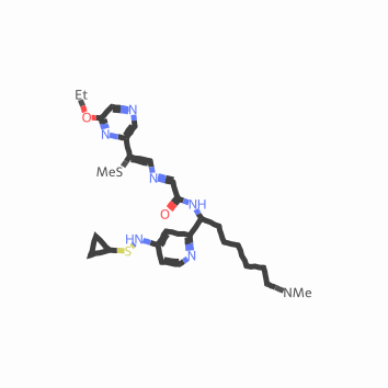 CCOc1cncc(/C(=C/N=C/C(=O)NC(CCCCCCNC)c2cc(NSC3CC3)ccn2)SC)n1